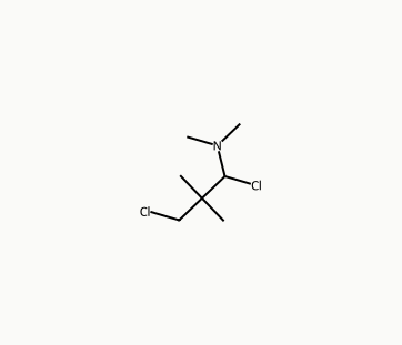 CN(C)C(Cl)C(C)(C)CCl